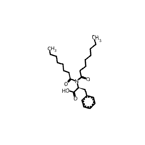 CCCCCCCC(=O)N(C(=O)CCCCCCC)[C@@H](Cc1ccccc1)C(=O)O